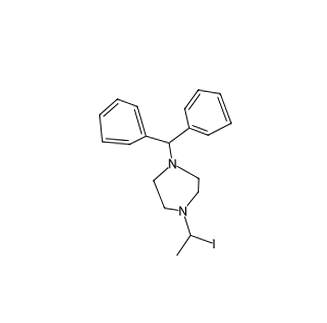 CC(I)N1CCN(C(c2ccccc2)c2ccccc2)CC1